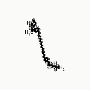 C[C@@H](OCc1ccc(CCCOCCCCCCCCOCCCc2ccc3c(c2)n(C)c(=O)n3C2CCC(=O)NC2=O)cc1)[C@@H](N)CCC(N)=O